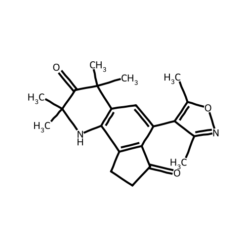 Cc1noc(C)c1-c1cc2c(c3c1C(=O)CC3)NC(C)(C)C(=O)C2(C)C